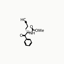 C#CCC[C@H](NC(=O)OC)C(=O)c1ccccc1